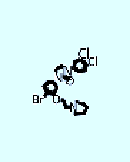 O=C1N(c2ccc(Cl)c(Cl)c2)CCN1c1ccc(Br)c(OCCN2CCCCC2)c1